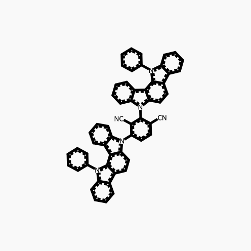 N#Cc1ccc(-n2c3ccccc3c3c2ccc2c4ccccc4n(-c4ccccc4)c23)c(C#N)c1-n1c2ccccc2c2c1ccc1c3ccccc3n(-c3ccccc3)c12